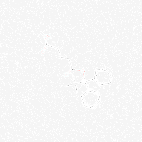 CC(C)(C)[Si](OC(=O)CCCC(=O)O)(c1ccccc1)c1ccccc1